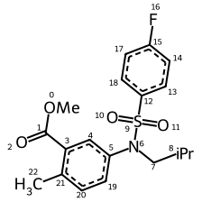 COC(=O)c1cc(N(CC(C)C)S(=O)(=O)c2ccc(F)cc2)ccc1C